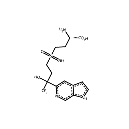 N=S(=O)(CC[C@H](N)C(=O)O)CCC(O)(c1cc2cc[nH]c2cn1)C(F)(F)F